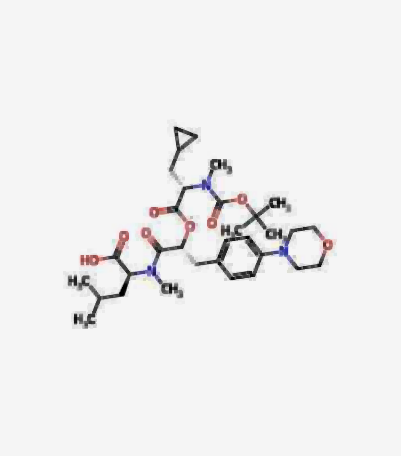 CC(C)C[C@@H](C(=O)O)N(C)C(=O)[C@@H](Cc1ccc(N2CCOCC2)cc1)OC(=O)[C@H](CC1CC1)N(C)C(=O)OC(C)(C)C